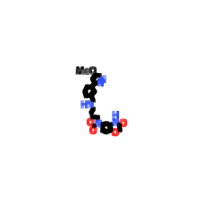 COc1cnnc(-c2cccc(CNCC[C@H]3CN(c4ccc5c(c4)NC(=O)CO5)C(=O)O3)c2)c1